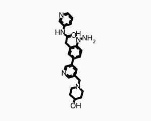 NNc1ccc(-c2cncc(CN3CCC(O)CC3)c2)cc1CC(=O)Nc1cccnc1